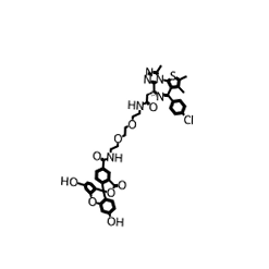 Cc1sc2c(c1C)C(c1ccc(Cl)cc1)=N[C@@H](CC(=O)NCCOCCOCCNC(=O)c1ccc3c(c1)C(=O)OC31c3ccc(O)cc3Oc3cc(O)ccc31)c1nnc(C)n1-2